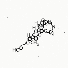 Cc1c(COc2cc(OCc3cncc(C#N)c3)c(CNC(C)(CO)C(=O)O)c(C)c2Cl)cccc1-c1cccc(OCCCN2CCC(O)C2)c1C